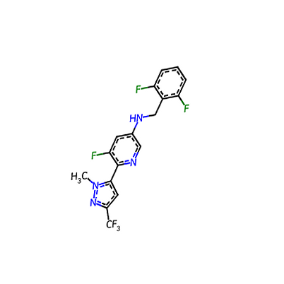 Cn1nc(C(F)(F)F)cc1-c1ncc(NCc2c(F)cccc2F)cc1F